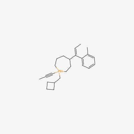 CC#C[PH]1(CC2CCC2)CCCC(/C(=C/C)c2ccccc2C)CC1